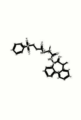 CC1C(=O)N(NC(=O)[C@H](C)NC(=O)CCS(=O)(=O)c2ccccc2)c2ccccc2-c2ccccc21